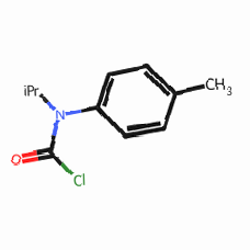 Cc1ccc(N(C(=O)Cl)C(C)C)cc1